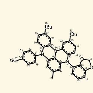 Cc1cc2c3c(c1)N(c1cccc4c1OCO4)c1ccc(C(C)(C)C)cc1B3c1cc(C(C)(C)C)ccc1N2c1ccc(C(C)(C)C)cc1